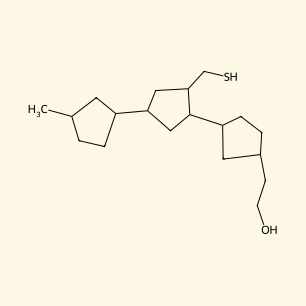 CC1CCC(C2CC(CS)C(C3CCC(CCO)C3)C2)C1